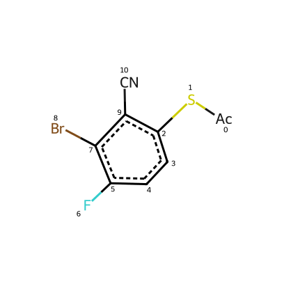 CC(=O)Sc1ccc(F)c(Br)c1C#N